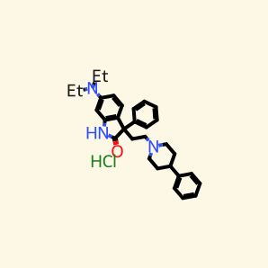 CCN(CC)c1ccc2c(c1)NC(=O)C2(CCN1CCC(c2ccccc2)CC1)c1ccccc1.Cl